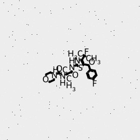 CC(C)(NC(=O)N1CCOCC1)C(=O)Nc1nc(C(C)(C)F)c(C(=O)c2ccc(F)cc2)s1